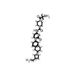 CC(C)(N)C(=O)N1CCN(C(=O)Nc2ccn(-c3ccc4c(c3)CCC(N3CCC(CN)C3)C4)c(=O)n2)CC1